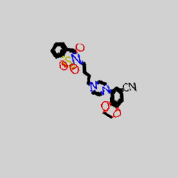 N#Cc1cc2c(c(N3CCN(CCCCN4C(=O)c5ccccc5S4(=O)=O)CC3)c1)OCCO2